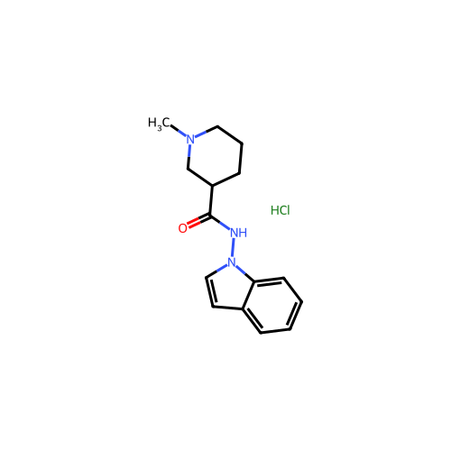 CN1CCCC(C(=O)Nn2ccc3ccccc32)C1.Cl